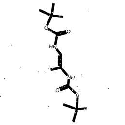 C/C(=C\NC(=O)OC(C)(C)C)NC(=O)OC(C)(C)C